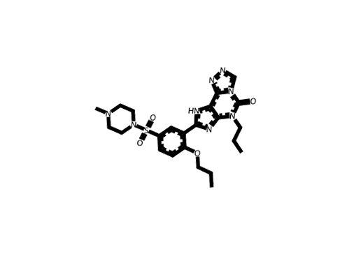 CCCOc1ccc(S(=O)(=O)N2CCN(C)CC2)cc1-c1nc2c([nH]1)c1nncn1c(=O)n2CCC